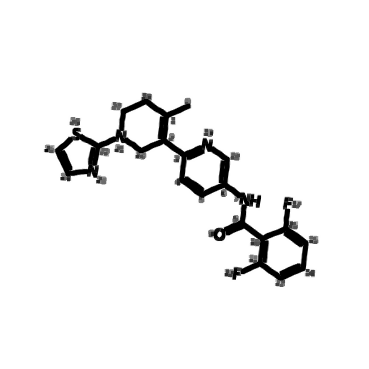 CC1=C(c2ccc(NC(=O)c3c(F)cccc3F)cn2)CN(c2nccs2)CC1